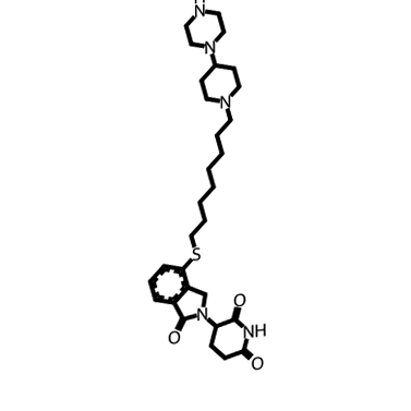 O=C1CCC(N2Cc3c(SCCCCCCCCN4CCC(N5CCNCC5)CC4)cccc3C2=O)C(=O)N1